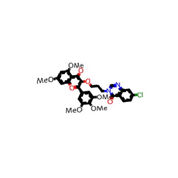 COc1cc(OC)c2c(=O)c(OCCCn3cnc4cc(Cl)ccc4c3=O)c(-c3cc(OC)c(OC)c(OC)c3)oc2c1